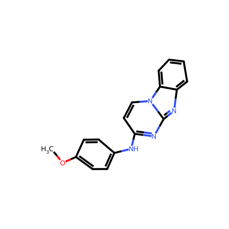 COc1ccc(Nc2ccn3c(n2)nc2ccccc23)cc1